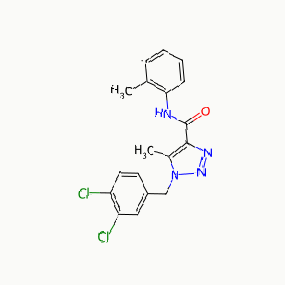 Cc1[c]cccc1NC(=O)c1nnn(Cc2ccc(Cl)c(Cl)c2)c1C